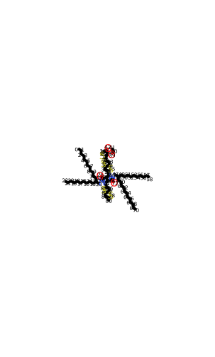 CCCCCCCCCCCCC(CCCCCCCCCC)CN1C(=O)C2=C(c3cc4sc(-c5scc6c5OCCO6)cc4s3)N(CC(CCCCCCCCCC)CCCCCCCCCCCC)C(=O)C2=C1c1cc2sc(C)cc2s1